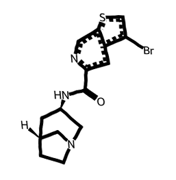 O=C(N[C@@H]1C[C@H]2CCN(C2)C1)c1cc2c(Br)csc2cn1